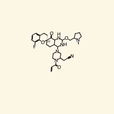 C=CC(=O)N1CCN(C2NC(OCC3CCCN3C)NC3C(=O)[C@@]4(CCc5cccc(F)c5O4)CCC32)CC1CC#N